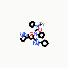 CC(C)N(C(=O)CN1C(=O)C(Cc2c[nH]c3ncccc23)c2nnc(-c3ccccc3)n2-c2ccccc21)c1ccccc1